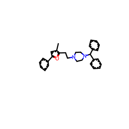 Cc1cc(-c2ccccc2)oc1CCN1CCN(C(c2ccccc2)c2ccccc2)CC1